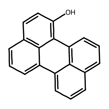 Oc1ccc2cccc3c4cccc5cccc(c1c23)c54